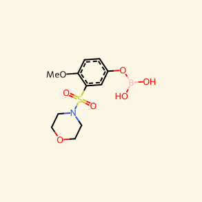 COc1ccc(OB(O)O)cc1S(=O)(=O)N1CCOCC1